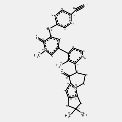 [CH2]c1c(-c2cc(Nc3cnc(C#N)cn3)c(=O)n(C)c2)ccnc1C1CCn2c(cc3c2CC(C)(C)C3)C1=O